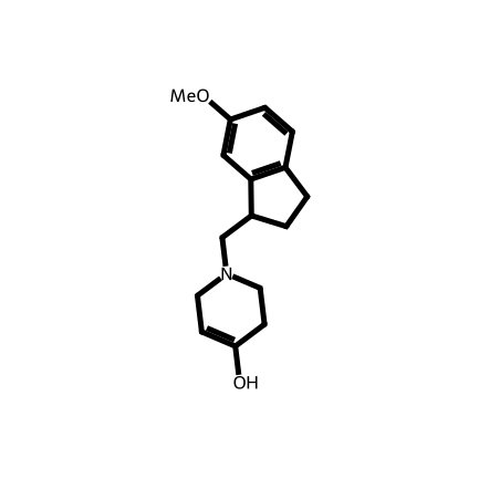 COc1ccc2c(c1)C(CN1CC=C(O)CC1)CC2